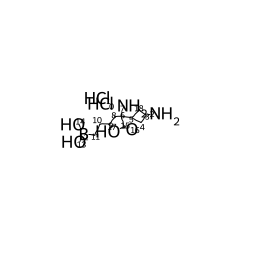 Cl.Cl.NC1CC(C(N)(CCCCB(O)O)C(=O)O)C1